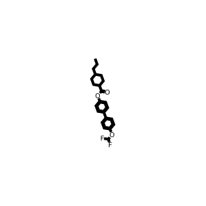 CCCC1CCC(C(=O)Oc2ccc(-c3ccc(OC(F)F)cc3)cc2)CC1